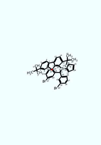 CC(C)(C)c1ccc2c(c1)Cc1c-2ccc(C(C)(C)C)[c]1[Zr]([C]1=CC=CC1)=[C](c1cccc(Br)c1)c1cccc(Br)c1